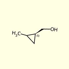 CC1C[C@@H]1CO